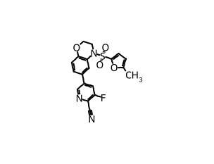 Cc1ccc(S(=O)(=O)N2CCOc3ccc(-c4cnc(C#N)c(F)c4)cc32)o1